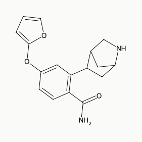 NC(=O)c1ccc(Oc2ccco2)cc1C1CC2CC1CN2